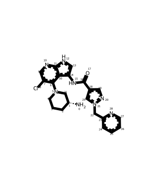 N[C@@H]1CCCN(c2c(Cl)cnc3[nH]cc(NC(=O)c4cnn(Cc5ccccn5)c4)c23)C1